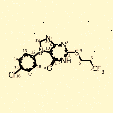 O=c1[nH]c(SCCC(F)(F)F)nc2c1N(c1ccc(Cl)cc1)C[N]2